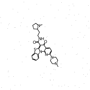 CN1CCN(c2ccc3c(=O)c(C(=O)NCCC4CCCN4C)c4sc5ccccc5n4c3n2)CC1